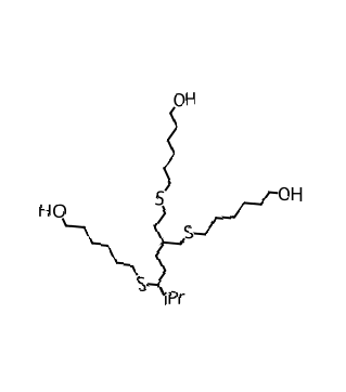 CC(C)C(CCC(CCSCCCCCCO)CSCCCCCCO)SCCCCCCO